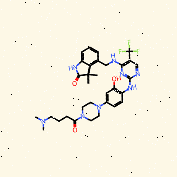 CN(C)CCCC(=O)N1CCN(c2ccc(Nc3ncc(C(F)(F)F)c(NCc4cccc5c4C(C)(C)C(=O)N5)n3)c(O)c2)CC1